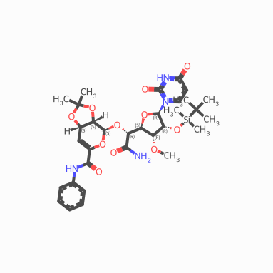 CO[C@H]1[C@@H](O[Si](C)(C)C(C)(C)C)[C@H](n2ccc(=O)[nH]c2=O)O[C@@H]1[C@@H](O[C@H]1OC(C(=O)Nc2ccccc2)=C[C@@H]2OC(C)(C)O[C@H]12)C(N)=O